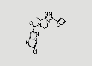 CC1c2nnc(-c3ccco3)n2CCN1C(=O)c1cc2ncc(Cl)cn2n1